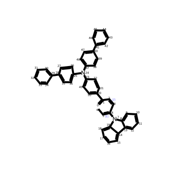 C=C(/C=C\C(=C/C)n1c2ccccc2c2ccccc21)c1ccc(N(c2ccc(-c3ccccc3)cc2)c2ccc(-c3ccccc3)cc2)cc1